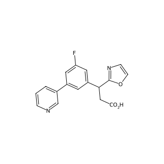 O=C(O)CC(c1cc(F)cc(-c2cccnc2)c1)c1ncco1